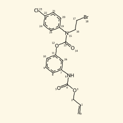 C=CCOC(=O)Nc1cccc(OC(=O)N(CCBr)c2ccc(Cl)cc2)c1